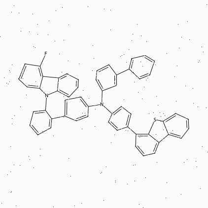 Fc1cccc2c1c1ccccc1n2-c1ccccc1-c1ccc(N(c2ccc(-c3cccc4c3sc3ccccc34)cc2)c2cccc(-c3ccccc3)c2)cc1